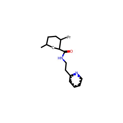 CC1CCC(C(C)C)C(C(=O)NCCc2ccccn2)C1